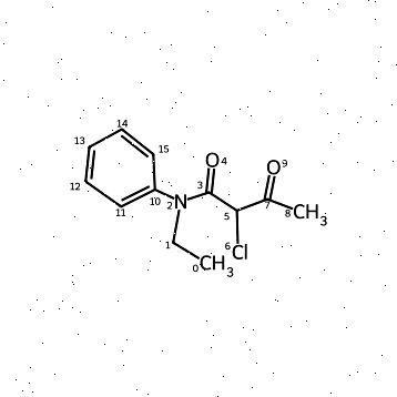 CCN(C(=O)C(Cl)C(C)=O)c1ccccc1